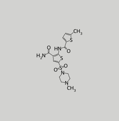 Cc1ccc(C(=O)Nc2sc(S(=O)(=O)N3CCN(C)CC3)cc2C(N)=O)s1